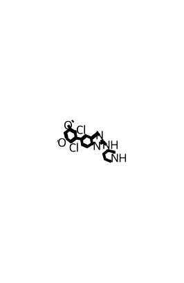 COc1cc(OC)c(Cl)c(-c2ccc3nc(NC4CCCNC4)ncc3c2)c1Cl